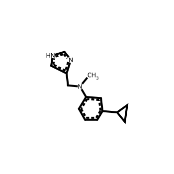 CN(Cc1c[nH]cn1)c1cccc(C2CC2)c1